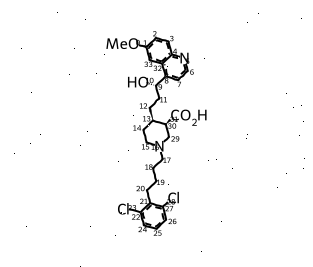 COc1ccc2nccc([C@@H](O)CC[C@@H]3CCN(CCCCc4c(Cl)cccc4Cl)C[C@@H]3C(=O)O)c2c1